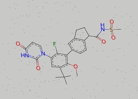 COc1c(C(C)(C)C)cc(-n2ccc(=O)[nH]c2=O)c(F)c1-c1ccc2c(c1)CCC2C(=O)NS(C)(=O)=O